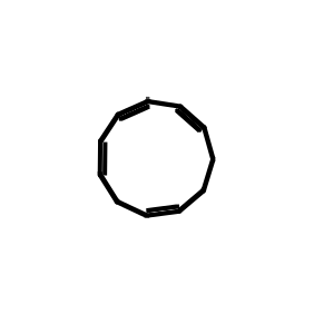 [C]1=CC=CCC=CCCC=C1